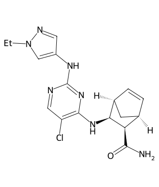 CCn1cc(Nc2ncc(Cl)c(N[C@@H]3[C@H](C(N)=O)[C@@H]4C=C[C@H]3C4)n2)cn1